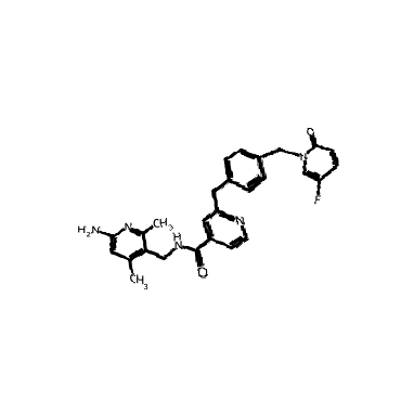 Cc1cc(N)nc(C)c1CNC(=O)c1ccnc(Cc2ccc(Cn3cc(F)ccc3=O)cc2)c1